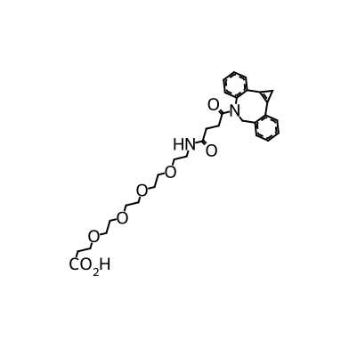 O=C(O)CCOCCOCCOCCOCCNC(=O)CCC(=O)N1Cc2ccccc2C2=C(C2)c2ccccc21